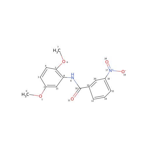 COc1ccc(OC)c(NC(=O)c2cccc([N+](=O)[O-])c2)c1